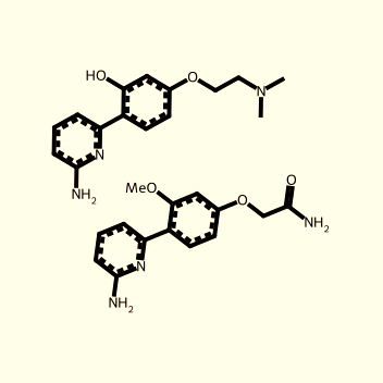 CN(C)CCOc1ccc(-c2cccc(N)n2)c(O)c1.COc1cc(OCC(N)=O)ccc1-c1cccc(N)n1